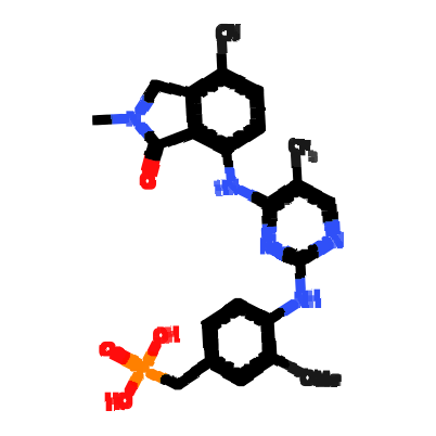 COc1cc(CP(=O)(O)O)ccc1Nc1ncc(C(F)(F)F)c(Nc2ccc(C#N)c3c2C(=O)N(C)C3)n1